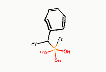 CCC(c1ccccc1)P(O)(O)(O)CC